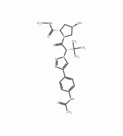 CNC(=O)[C@@H]1C[C@@H](O)CN1C(=O)[C@@H](n1cc(-c2ccc(NC(C)=O)cc2)nn1)C(C)(C)C